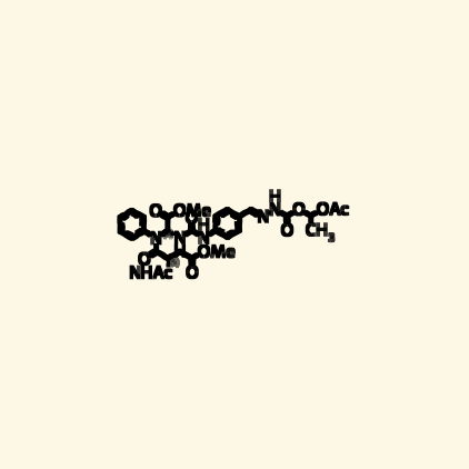 COC(=O)C[C@H](NC(C)=O)C(=O)N(c1ccccc1)[C@@H](NC(=O)Nc1ccc(C=NNC(=O)OC(C)OC(C)=O)cc1)C(=O)OC